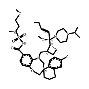 CC/C=C/[C@@](OC)([C@@H]1CC[C@H]1CN1C[C@@]2(CCCc3cc(Cl)ccc32)COc2ccc(C(=O)NS(=O)(=O)[C@@H](C)CCOC)cc21)N1CCN(C(C)C)CC1